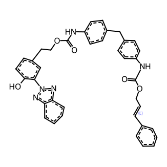 O=C(Nc1ccc(Cc2ccc(NC(=O)OCCc3ccc(O)c(-n4nc5ccccc5n4)c3)cc2)cc1)OC/C=C/c1ccccc1